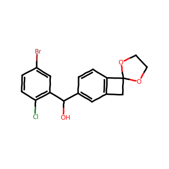 OC(c1ccc2c(c1)CC21OCCO1)c1cc(Br)ccc1Cl